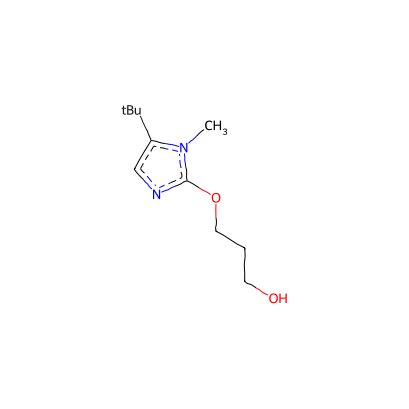 Cn1c(C(C)(C)C)cnc1OCCCO